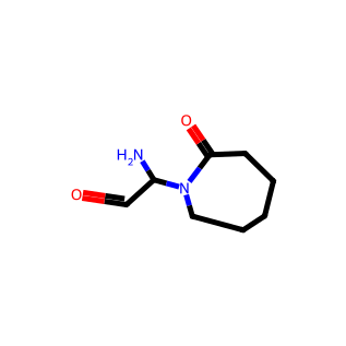 NC(C=O)N1CCCCCC1=O